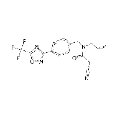 C=CCN(Cc1ccc(-c2noc(C(F)(F)F)n2)cc1)C(=O)CC#N